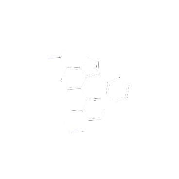 Cc1[nH]c2c(C(N)=O)cc(F)c(-c3cccc4c3CCNC4)c2c1-c1ccc(F)cc1